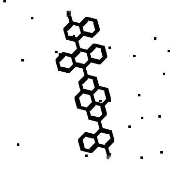 Fc1ccc(-c2cc3ccc4cc(-c5c6ccccc6c(-c6ccc(F)c7ccccc67)c6ccccc56)cc5ccc(c2)c3c45)c2ccccc12